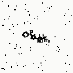 Cc1c(-c2ccc(C(=O)N3CCCCC3)s2)noc1C(C)(F)P